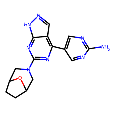 Nc1ncc(-c2nc(N3CC4CCC(C3)O4)nc3[nH]ncc23)cn1